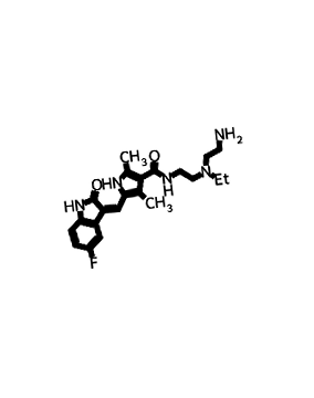 CCN(CCN)CCNC(=O)c1c(C)[nH]c(/C=C2\C(=O)Nc3ccc(F)cc32)c1C